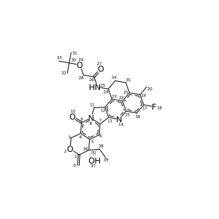 C=C1OCc2c(cc3n(c2=O)Cc2c-3nc3cc(F)c(C)c4c3c2C(NC(=O)COC(C)(C)C)CC4)[C@@]1(O)CC